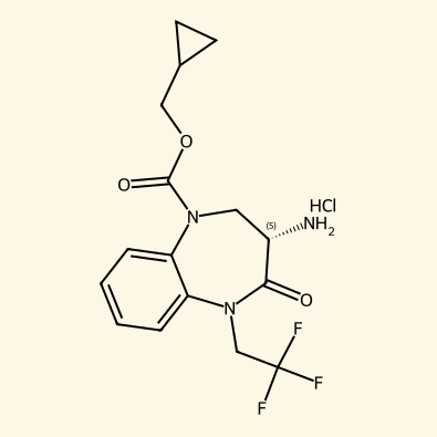 Cl.N[C@H]1CN(C(=O)OCC2CC2)c2ccccc2N(CC(F)(F)F)C1=O